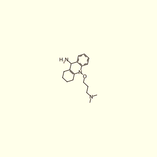 CN(C)CCCON1C2=C(CCCC2)C(N)c2ccccc21